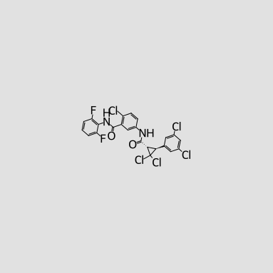 O=C(Nc1c(F)cccc1F)c1cc(NC(=O)[C@@H]2[C@@H](c3cc(Cl)cc(Cl)c3)C2(Cl)Cl)ccc1Cl